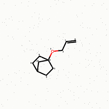 C=CCOC12CCC(CC1)C2